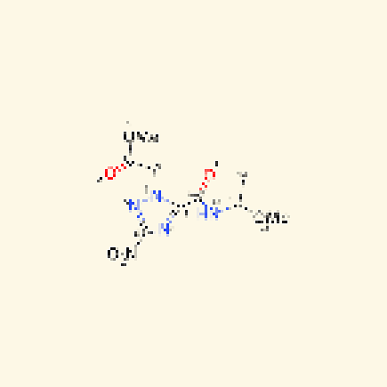 COC(=O)Cn1nc([N+](=O)[O-])nc1C(=O)NC(C)OC